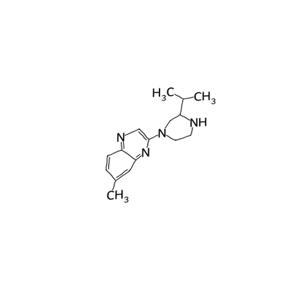 Cc1ccc2ncc(N3CCNC(C(C)C)C3)nc2c1